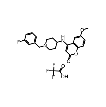 COc1ccc2oc(=O)cc(NC3CCN(Cc4cccc(F)c4)CC3)c2c1.O=C(O)C(F)(F)F